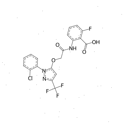 O=C(COc1cc(C(F)(F)F)nn1-c1ccccc1Cl)Nc1cccc(F)c1C(=O)O